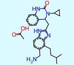 CC(=O)O.CC(C)CCc1c(CN)ccc2[nH]c(CC3c4ccccc4NC(=O)N3C3CC3)nc12